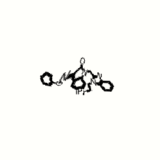 CC(C)CCn1c(CN2C(=O)/C(=N/Oc3ccccc3)c3ccccc32)nc2ccccc21